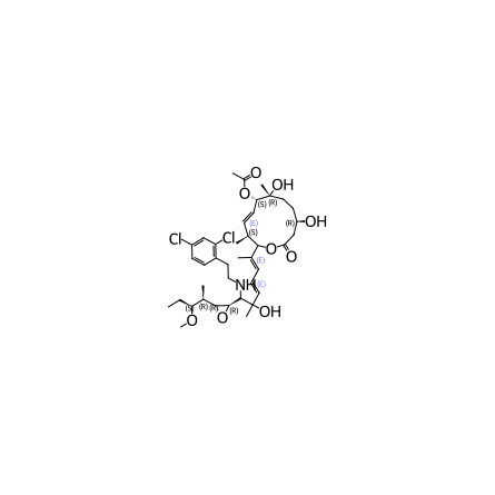 CC[C@H](OC)[C@@H](C)[C@H]1O[C@@H]1C(NCCc1ccc(Cl)cc1Cl)C(C)(O)/C=C/C=C(\C)C1OC(=O)C[C@H](O)CC[C@@](C)(O)[C@@H](OC(C)=O)/C=C/[C@@H]1C